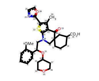 COc1ccccc1C(CN1CC2(CCCC(C(=O)O)C2)C(=O)c2c1sc(-c1ncco1)c2C)OC1CCOCC1